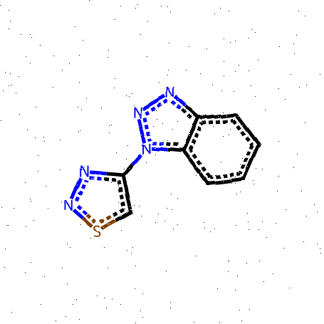 c1ccc2c(c1)nnn2-c1csnn1